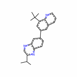 CC(C)c1cnc2cc(-c3cc(C(C)(C)C)c4ncccc4c3)ccc2n1